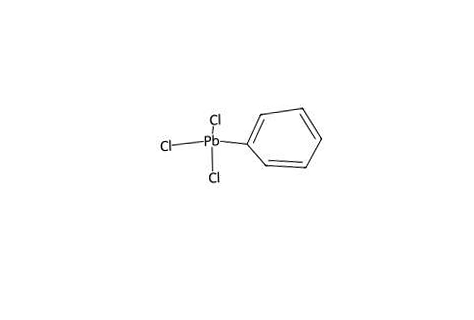 [Cl][Pb]([Cl])([Cl])[c]1ccccc1